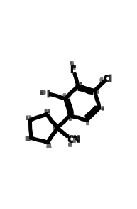 N#CC1(c2ccc(Cl)c(F)c2I)CCCC1